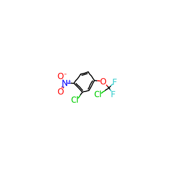 O=[N+]([O-])c1ccc(OC(F)(F)Cl)cc1Cl